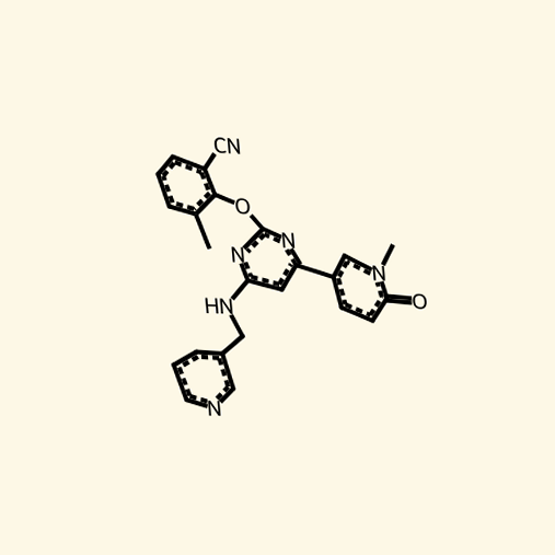 Cc1cccc(C#N)c1Oc1nc(NCc2cccnc2)cc(-c2ccc(=O)n(C)c2)n1